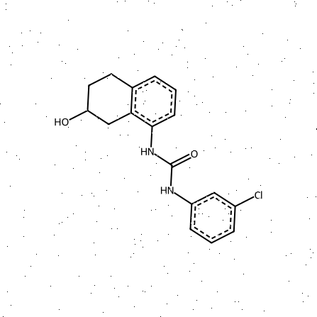 O=C(Nc1cccc(Cl)c1)Nc1cccc2c1CC(O)CC2